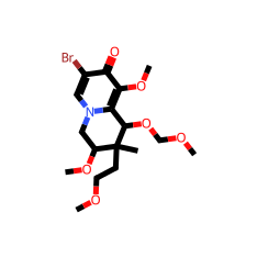 COCCC1(C)C(OC)Cn2cc(Br)c(=O)c(OC)c2C1OCOC